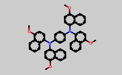 COc1ccc(N(c2ccc(N(c3ccc(OC)c4ccccc34)c3ccc(OC)c4ccccc34)cc2)c2ccc(OC)c3ccccc23)c2ccccc12